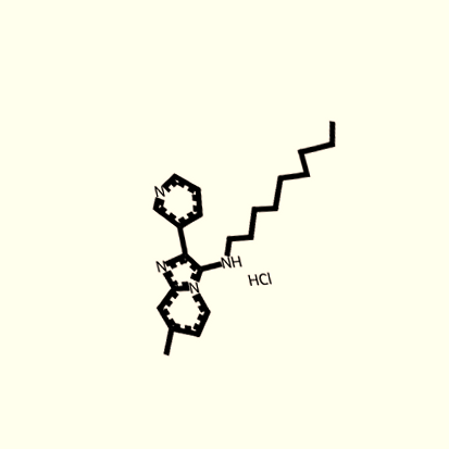 CCCCCCCCCNc1c(-c2cccnc2)nc2cc(C)ccn12.Cl